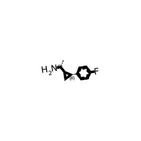 C[C@@H](N)C1C[C@H]1c1ccc(F)cc1